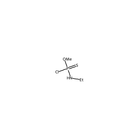 CCNP(=S)(Cl)OC